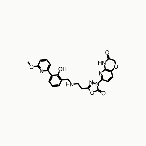 COc1cccc(-c2cccc(CNCCc3nn(-c4ccc5c(n4)NC(=O)CO5)c(=O)o3)c2O)n1